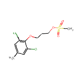 Cc1cc(Cl)c(OCCCOS(C)(=O)=O)c(Cl)c1